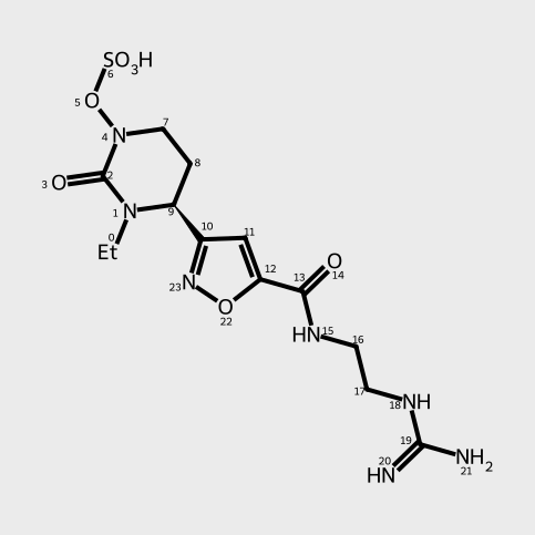 CCN1C(=O)N(OS(=O)(=O)O)CC[C@H]1c1cc(C(=O)NCCNC(=N)N)on1